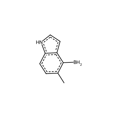 Bc1c(C)ccc2[nH]ccc12